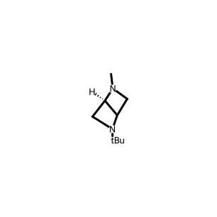 CN1CC2[C@H]1CN2C(C)(C)C